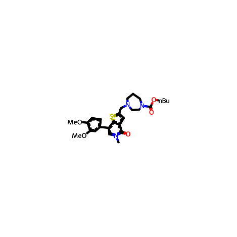 CCCCOC(=O)N1CCCN(Cc2cc3c(=O)n(C)cc(-c4ccc(OC)c(OC)c4)c3s2)CC1